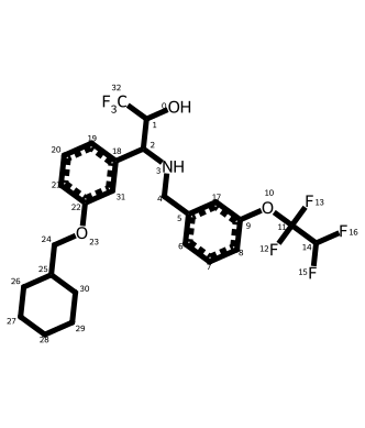 OC(C(NCc1cccc(OC(F)(F)C(F)F)c1)c1cccc(OCC2CCCCC2)c1)C(F)(F)F